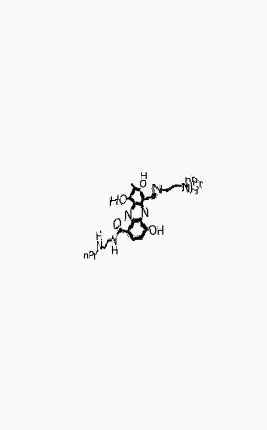 CCCNCCN=Cc1c(O)c(C)c(O)c2nc3c(C(=O)NCCNCCC)ccc(O)c3nc12